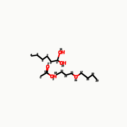 CC(=O)O.CCCCCC(O)O.CCCCOCCCC